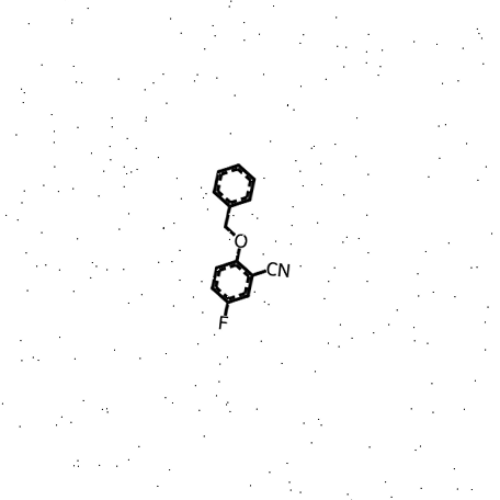 N#Cc1cc(F)ccc1OCc1ccccc1